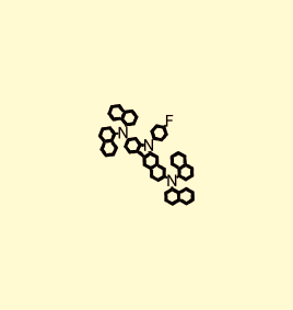 Fc1ccc(-n2c3cc(N(c4cccc5ccccc45)c4cccc5ccccc45)ccc3c3cc4ccc(N(c5cccc6ccccc56)c5cccc6ccccc56)cc4cc32)cc1